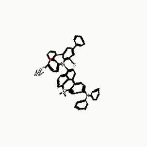 C[Si]1(C)c2cc(N(c3ccccc3)c3ccccc3)ccc2-c2ccc(N(c3ccc(C#N)cc3)c3c(F)cc(-c4ccccc4)cc3-c3ccccc3)c3cccc1c23